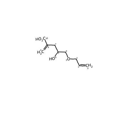 C=CCOCC(O)CC(=C)C(=O)O